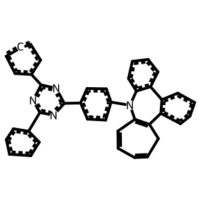 C1=CCC2=C(C=C1)N(c1ccc(-c3nc(-c4ccccc4)nc(-c4ccccc4)n3)cc1)c1ccccc1-c1ccccc12